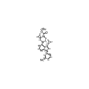 CC(C)(C)OC(=O)N1CCN(c2ncnc3c2c(C2CC2)cn3-c2cc(C#N)ccn2)CC12CC2